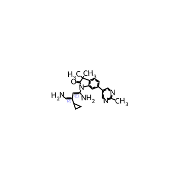 Cc1ncc(-c2ccc3c(c2)N(/C(N)=C/C(=C\N)C2CC2)C(=O)C3(C)C)cn1